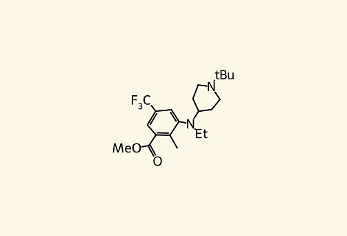 CCN(c1cc(C(F)(F)F)cc(C(=O)OC)c1C)C1CCN(C(C)(C)C)CC1